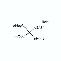 CCCCCCCC(CCCCCCC)(C(=O)O)C(=O)O.[NaH]